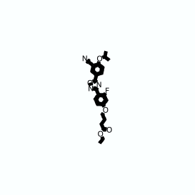 CCOC(=O)CCCOc1ccc(-c2noc(-c3ccc(OC(C)C)c(C#N)c3)n2)c(F)c1